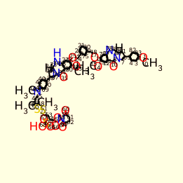 COc1ccc(C2=CN3C(=O)c4cc(OC)c(OCc5cccc(COc6cc7c(cc6OC)C(=O)N6C=C(c8ccc(N(C)CCC(C)(C)SSCCC(C(=O)ON9C(=O)CCC9=O)S(=O)(=O)O)cc8)C[C@H]6CN7)c5)cc4N=C[C@@H]3C2)cc1